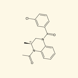 CC(=O)N1c2ccccc2N(C(=O)c2cccc(Cl)c2)C[C@@H]1C